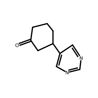 O=C1CCCC(c2cncnc2)C1